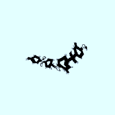 COc1ccc(C(C)(C)c2ccc(Oc3ccc(S(=O)(=O)c4ccc(C)cc4)cc3)c(C)c2)cc1C